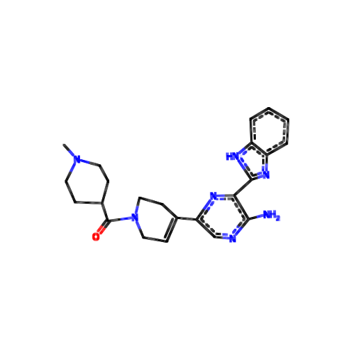 CN1CCC(C(=O)N2CC=C(c3cnc(N)c(-c4nc5ccccc5[nH]4)n3)CC2)CC1